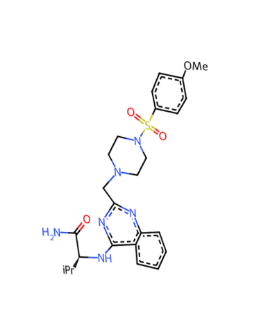 COc1ccc(S(=O)(=O)N2CCN(Cc3nc(N[C@H](C(N)=O)C(C)C)c4ccccc4n3)CC2)cc1